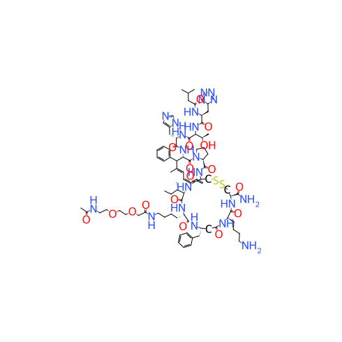 C=C/C=C\C=C(/C)C(c1ccccc1)[C@H](NC(=O)[C@H](Cc1cnc[nH]1)NC(=O)[C@@H](NC(=O)[C@H](CC1N=NN=N1)NC(=O)CC(C)C)[C@@H](C)O)C(=O)N1CCC[C@H]1C(=O)N[C@H]1CSSC[C@@H](C(N)=O)NC(=O)[C@@H](CCCCN)NC(=O)C[C@H](Cc2ccccc2)NC(=O)[C@H](CCCCNC(=O)COCCOCCNC(C)=O)NC(=O)[C@H]([C@@H](C)CC)NC1=O